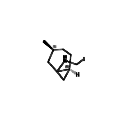 C[C@H]1CC[C@H]2CC2(NCI)C1